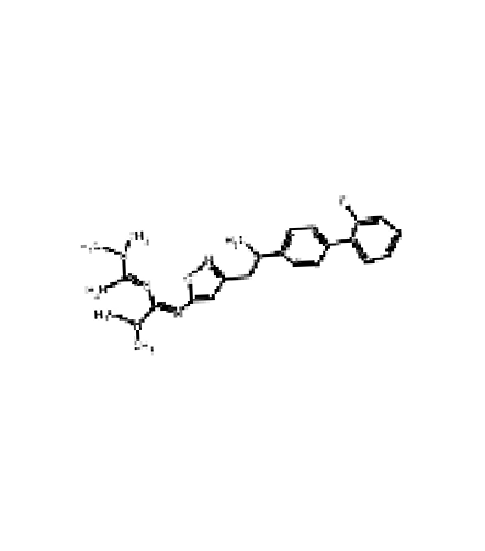 CC(Cc1cc(N=C(N=C(N)N(C)C)N(C)C)on1)c1ccc(-c2ccccc2F)cc1